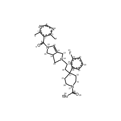 Cc1ncnc(C)c1C(=O)N1C=C2CN(CCC3(c4cccc(F)c4)CCN(C(=O)C(C)(C)C)CC3)CC2C1